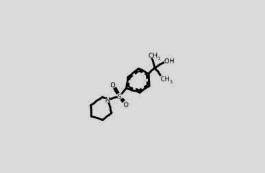 CC(C)(O)c1ccc(S(=O)(=O)N2CCCCC2)cc1